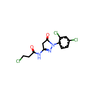 O=C(CCCl)NC1=NN(c2ccc(Cl)cc2Cl)C(=O)C1